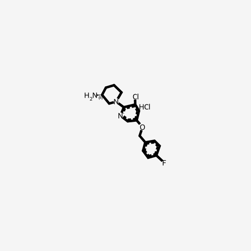 Cl.N[C@@H]1CCCN(c2ncc(OCc3ccc(F)cc3)cc2Cl)C1